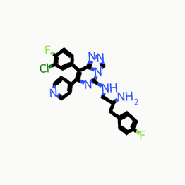 NC(CNc1nc(-c2ccncc2)c(-c2ccc(F)c(Cl)c2)c2nncn12)Cc1ccc(F)cc1